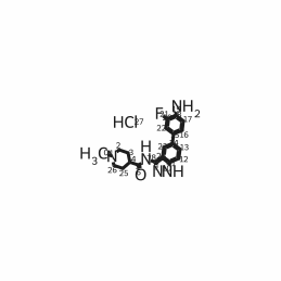 CN1CCC(C(=O)Nc2n[nH]c3ccc(-c4ccc(N)c(F)c4)cc23)CC1.Cl